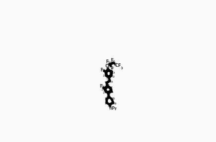 CCCC1CCC(c2ccc(CCc3ccc(OC(F)(F)C(F)C(F)(F)F)c(F)c3)c(F)c2)CC1